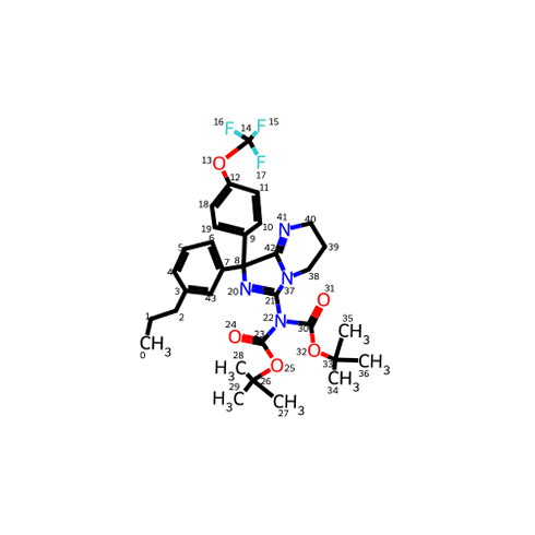 CCCc1cccc(C2(c3ccc(OC(F)(F)F)cc3)N=C(N(C(=O)OC(C)(C)C)C(=O)OC(C)(C)C)N3CCCN=C32)c1